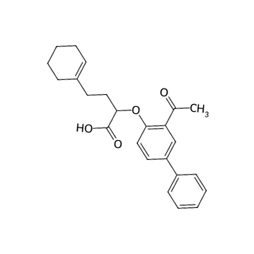 CC(=O)c1cc(-c2ccccc2)ccc1OC(CCC1=CCCCC1)C(=O)O